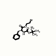 CC(C)(C)OC(=O)N[C@@H](Cc1ccccc1)C(=O)OCCBr